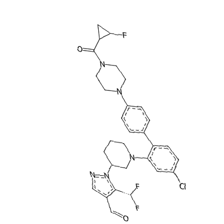 O=Cc1cnn(C2CCCN(c3cc(Cl)ccc3-c3ccc(N4CCN(C(=O)C5CC5F)CC4)cc3)C2)c1C(F)F